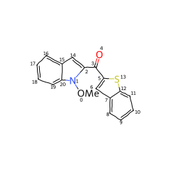 COn1c(C(=O)c2cc3ccccc3s2)cc2ccccc21